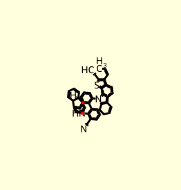 C#Cc1sc2c(ccc3c4c(n(-c5ccccc5-c5cccc(C#N)c5Nc5c6cccc5[C@H]5C=CC=CC65)c32)CCC=C4)c1/C=C\C